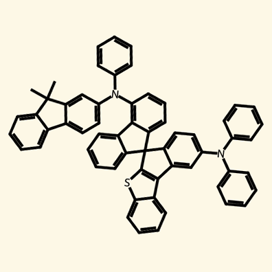 CC1(C)c2ccccc2-c2ccc(N(c3ccccc3)c3cccc4c3-c3ccccc3C43c4ccc(N(c5ccccc5)c5ccccc5)cc4-c4c3sc3ccccc43)cc21